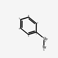 [Br][Sb][c]1ccccc1